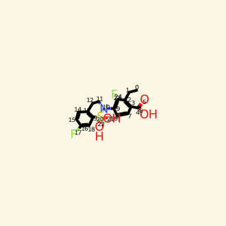 CCc1c(C(=O)O)ccc(N2CCc3ccc(F)cc3S2(O)O)c1F